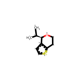 CC(C)[C@H]1OCCc2sccc21